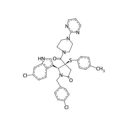 Cc1ccc(S[C@@]2(C(=O)N3CCN(c4ncccn4)CC3)CC(=O)N(Cc3ccc(Cl)cc3)[C@H]2c2c[nH]c3cc(Cl)ccc23)cc1